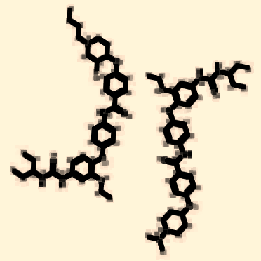 CCCCN1CCC(Oc2ccc(C(=O)Nc3ccc(Oc4ccc(NC(=O)NC(CC)CC)cc4OCC)cc3)cc2)C(F)C1.CCOc1cc(NC(=O)NC(CC)CC)ccc1Oc1ccc(NC(=O)c2ccc(OC3CCN(N(C)C)CC3)cc2)cc1